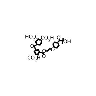 CC(C)(O)C(=O)c1ccc(OCCOC(=O)c2cc(C(=O)c3ccc(C(=O)O)c(C(=O)O)c3)ccc2C(=O)O)cc1